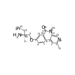 Cc1cc2c3ccc(OC[C@@](C)(N)CC(C)C)cc3c(=O)n(C)c2cn1